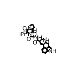 CC(C)C1C(=O)N2CCC[C@H]2[C@]2(O)O[C@@](C)(NC(=O)C3C=C4c5cccc6[nH]cc(c56)C[C@H]4N(C)C3)C(=O)N12